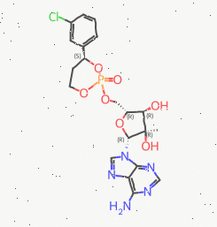 C[C@@]1(O)[C@H](O)[C@@H](COP2(=O)OCC[C@@H](c3cccc(Cl)c3)O2)O[C@H]1n1cnc2c(N)ncnc21